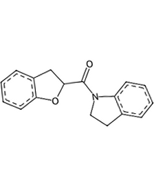 O=C(C1Cc2ccccc2O1)N1CCc2ccccc21